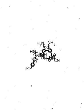 Cc1nc(-c2ccc(CC(C)C)cc2)ncc1C(=O)N[C@@H](CCO)C(=O)N(C)[C@@H]1C(=O)N[C@@H](C)C(=O)N[C@H](C(=O)NCC#N)Cc2ccc(OCCN)c(c2)-c2cc1ccc2OCCN